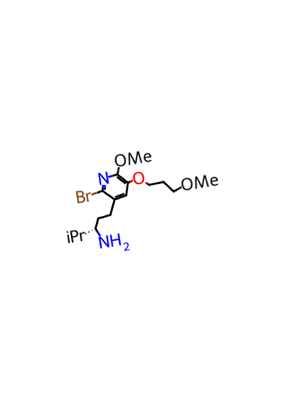 COCCCOc1cc(CC[C@H](N)C(C)C)c(Br)nc1OC